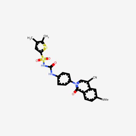 CNc1ccc2c(=O)n(-c3ccc(NC(=O)NS(=O)(=O)c4cc(C)c(C)s4)cc3)cc(C#N)c2c1